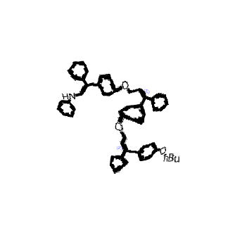 CCCCOc1ccc(/C(=C\COc2ccc(/C(=C\COc3ccc(C(=CNc4ccccc4)c4ccccc4)cc3)c3ccccc3)cc2)c2ccccc2)cc1